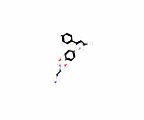 Cc1ccc(-c2cc(C(F)(F)F)nn2-c2ccc(S(=O)(=O)NCCNC(=O)O)cc2)cc1